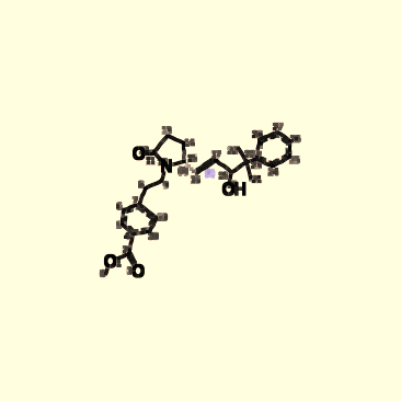 COC(=O)c1ccc(CCN2C(=O)CC[C@@H]2/C=C/C(O)C(C)(C)c2ccccc2)cc1